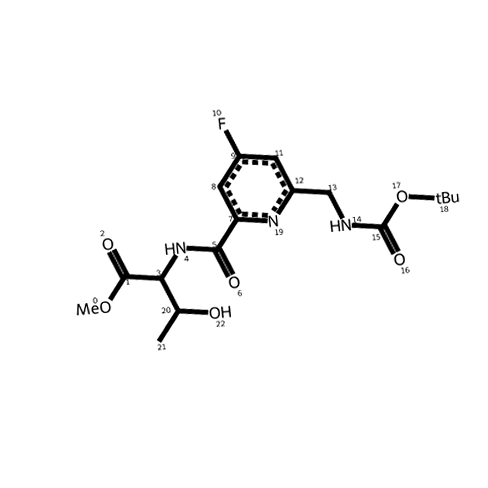 COC(=O)C(NC(=O)c1cc(F)cc(CNC(=O)OC(C)(C)C)n1)C(C)O